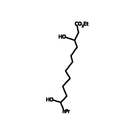 CCCC(O)CCCCCCCC(O)CC(=O)OCC